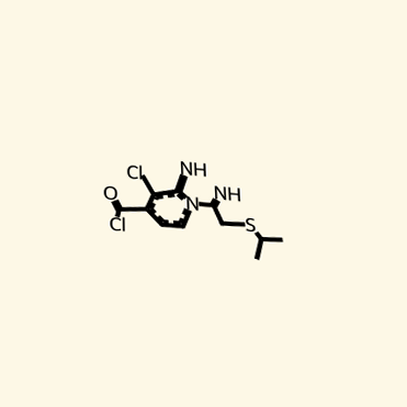 CC(C)SCC(=N)n1ccc(C(=O)Cl)c(Cl)c1=N